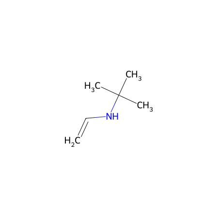 C=CNC(C)(C)C